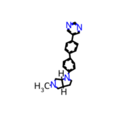 CN1C[C@H]2CCN(c3ccc(-c4ccc(-c5cncnc5)cc4)cc3)[C@H]2C1